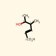 CC(O)C(C)C=CC(=O)O